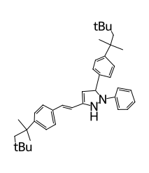 CC(C)(C)CC(C)(C)c1ccc(C=CC2=CC(c3ccc(C(C)(C)CC(C)(C)C)cc3)N(c3ccccc3)N2)cc1